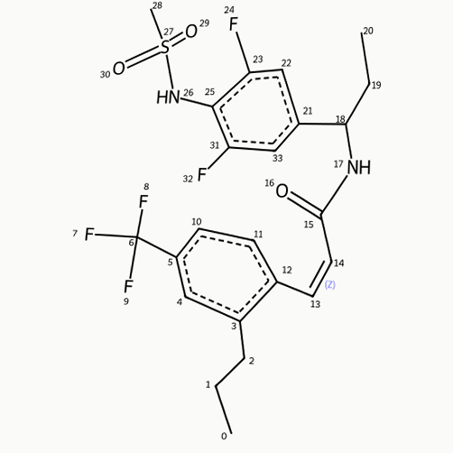 CCCc1cc(C(F)(F)F)ccc1/C=C\C(=O)NC(CC)c1cc(F)c(NS(C)(=O)=O)c(F)c1